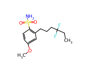 CCC(F)(F)CCCc1cc(OC)ccc1S(N)(=O)=O